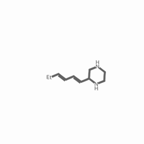 [CH2]CC=CC=CC1CNCCN1